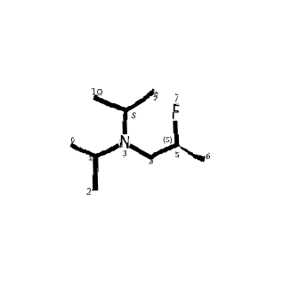 CC(C)N(C[C@H](C)F)C(C)C